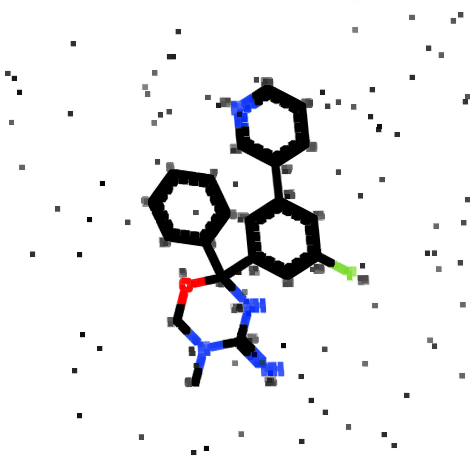 CN1COC(c2ccccc2)(c2cc(F)cc(-c3cccnc3)c2)NC1=N